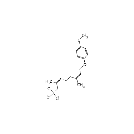 COc1ccc(OCC=C(C)CCC=C(C)CC(Cl)(Cl)Cl)cc1